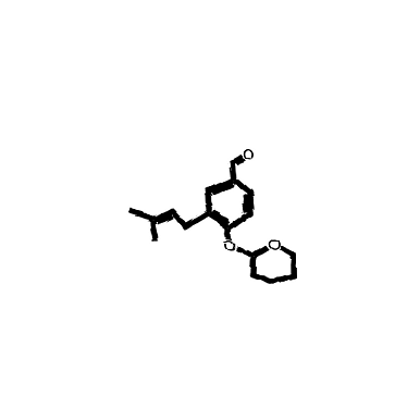 CC(C)=CCc1cc(C=O)ccc1OC1CCCCO1